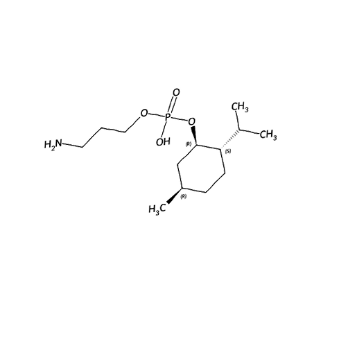 CC(C)[C@@H]1CC[C@@H](C)C[C@H]1OP(=O)(O)OCCCN